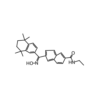 CCNC(=O)c1ccc2cc(C(=NO)c3ccc4c(c3)C(C)(C)CCC4(C)C)ccc2c1